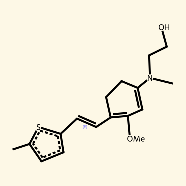 COC1=C(/C=C/c2ccc(C)s2)CCC(N(C)CCO)=C1